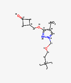 C[Si](C)(C)CCOCn1cc([N+](=O)[O-])c(OCC2CC(=O)C2)n1